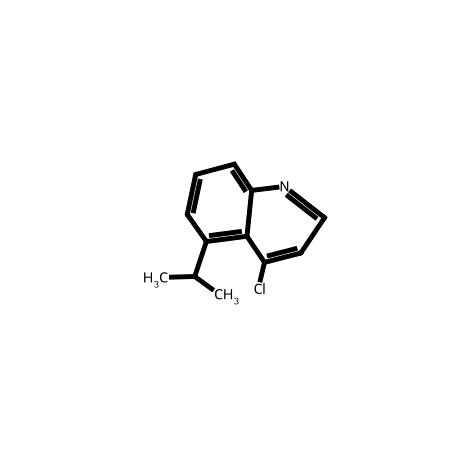 CC(C)c1cccc2nccc(Cl)c12